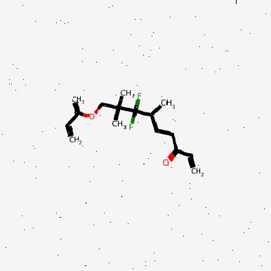 C=CC(=C)OCC(C)(C)C(F)(F)C(C)CCC(=O)C=C